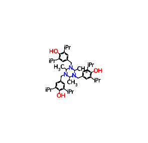 CC(C)c1cc(CN2C(C)N(Cc3cc(C(C)C)c(O)c(C(C)C)c3)C(C)N(Cc3cc(C(C)C)c(O)c(C(C)C)c3)C2C)cc(C(C)C)c1O